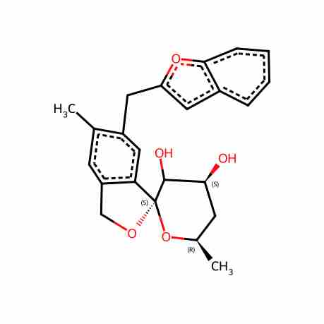 Cc1cc2c(cc1Cc1cc3ccccc3o1)[C@]1(OC2)O[C@H](C)C[C@H](O)C1O